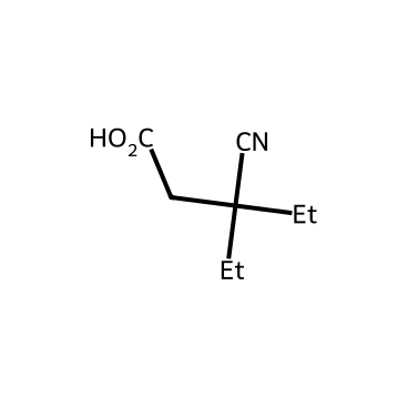 CCC(C#N)(CC)CC(=O)O